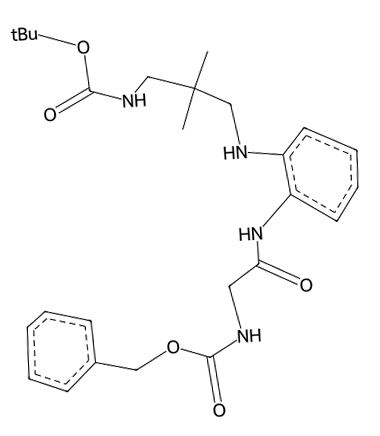 CC(C)(CNC(=O)OC(C)(C)C)CNc1ccccc1NC(=O)CNC(=O)OCc1ccccc1